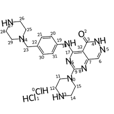 Cl.Cl.O=c1[nH]ncc2nc(N3CCNCC3)nc(Nc3ccc(CN4CCNCC4)cc3)c12